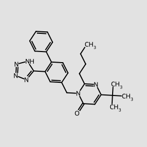 CCCCc1nc(C(C)(C)C)cc(=O)n1Cc1ccc(-c2ccccc2)c(-c2nnn[nH]2)c1